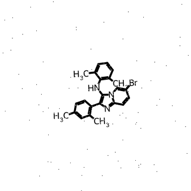 Cc1ccc(-c2nc3ccc(Br)cn3c2Nc2c(C)cccc2C)c(C)c1